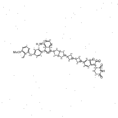 COc1cccc(Oc2ccc(-c3nn(C4CC5CN(C6CN(C7CN(c8ccc9c(c8)oc(=O)n9C8CCC(=O)NC8=O)C7)C6)CC5C4)c4ncnc(N)c34)cc2)c1F